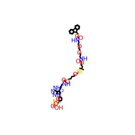 CC(C)(CCOC(=O)NCCOCCOCCNC(=O)OCC1c2ccccc2-c2ccccc21)SSCOCCCCOC(=O)NCC#Cc1cn([C@H]2CC[C@@H](CO[PH](=O)O)O2)c2ncnc(N)c12